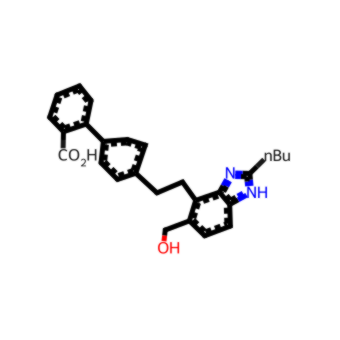 CCCCc1nc2c(CCc3ccc(-c4ccccc4C(=O)O)cc3)c(CO)ccc2[nH]1